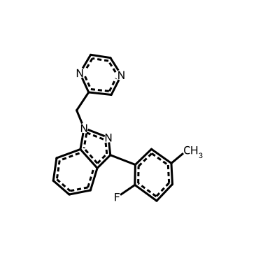 Cc1ccc(F)c(-c2nn(Cc3cnccn3)c3ccccc23)c1